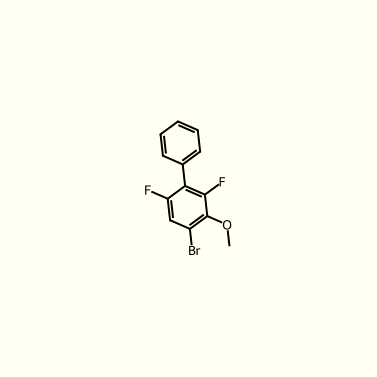 COc1c(Br)cc(F)c(-c2ccccc2)c1F